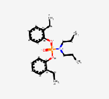 CCCN(CCC)P(=O)(Oc1ccccc1CC)Oc1ccccc1CC